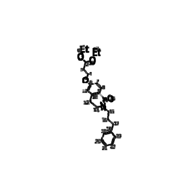 CCOC(CCOc1ccc2c(c1)CCN(CCCc1ccccc1)C2=O)OCC